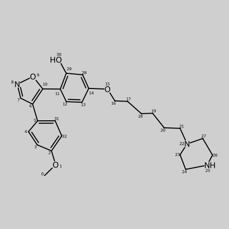 COc1ccc(-c2cnoc2-c2ccc(OCCCCCCN3CCNCC3)cc2O)cc1